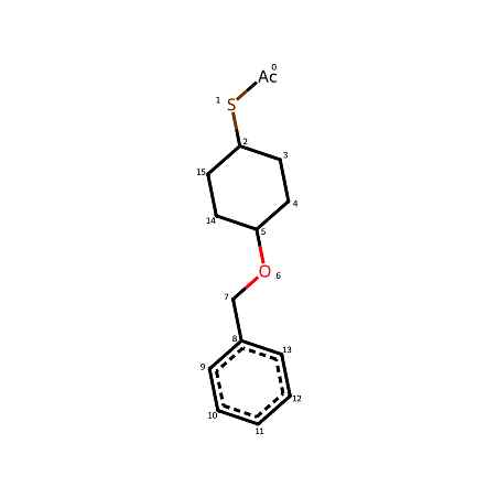 CC(=O)SC1CCC(OCc2ccccc2)CC1